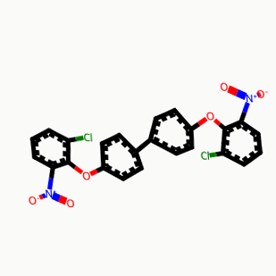 O=[N+]([O-])c1cccc(Cl)c1Oc1ccc(-c2ccc(Oc3c(Cl)cccc3[N+](=O)[O-])cc2)cc1